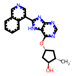 [CH2][C@H]1C[C@@H](Oc2ncnc3nc(-c4cncc5ccccc45)[nH]c23)C[C@@H]1O